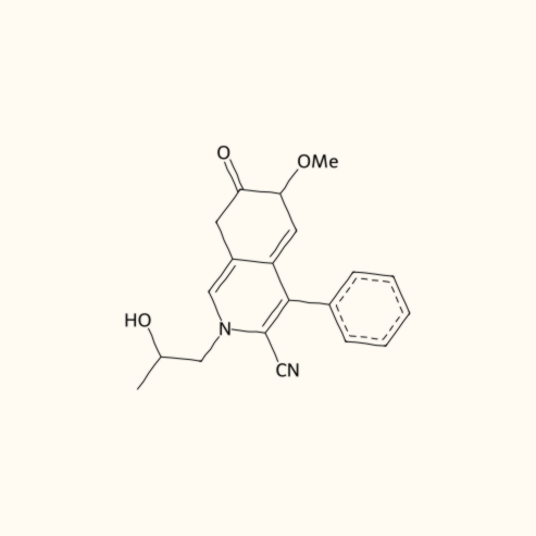 COC1C=C2C(=CN(CC(C)O)C(C#N)=C2c2ccccc2)CC1=O